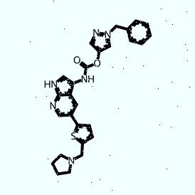 O=C(Nc1c[nH]c2ncc(-c3ccc(CN4CCCC4)s3)cc12)Oc1cnn(Cc2ccccc2)c1